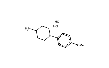 COc1ccc(N2CCC(N)CC2)cc1.Cl.Cl